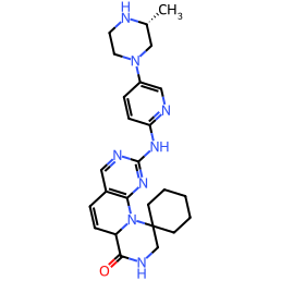 C[C@@H]1CN(c2ccc(Nc3ncc4c(n3)N3C(C=C4)C(=O)NCC34CCCCC4)nc2)CCN1